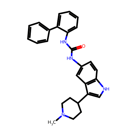 CN1CCC(c2c[nH]c3ccc(NC(=O)Nc4ccccc4-c4ccccc4)cc23)CC1